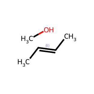 C/C=C/C.CO